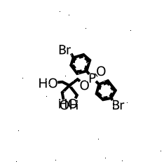 O=P(OCC(CO)(CO)CO)(c1ccc(Br)cc1)c1ccc(Br)cc1